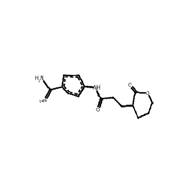 N=C(N)c1ccc(NC(=O)CCC2CCCOC2=O)cc1